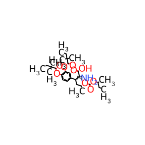 CCC(C)OC(=O)OC(C)CC(c1ccc(OC(=O)C(C)(C)CC)c(OC(=O)C(C)(C)CC)c1)[C@H](N)C(=O)O